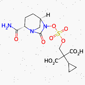 NC(=O)[C@@H]1CC[C@@H]2CN1C(=O)N2OS(=O)(=O)OCC(C(=O)O)(C(=O)O)C1CC1